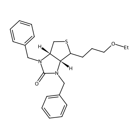 CCOCCCC1SC[C@@H]2[C@H]1N(Cc1ccccc1)C(=O)N2Cc1ccccc1